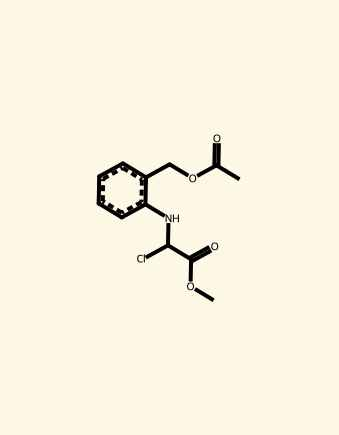 COC(=O)C(Cl)Nc1ccccc1COC(C)=O